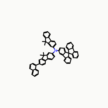 CC1(C)c2ccccc2-c2ccc(N(c3ccc4c(c3)-c3ccccc3C43c4ccccc4-c4ccccc43)c3ccc4c(c3)C(C)(C)c3cc(-c5cccc6ccccc56)ccc3-4)cc21